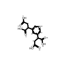 O=C(O)CC(C(=O)O)c1cncc(C(CC(=O)O)C(=O)O)c1